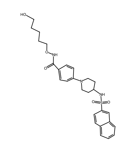 O=C(NOCCCCCO)c1ccc(N2CCC(NS(=O)(=O)c3ccc4ccccc4c3)CC2)cc1